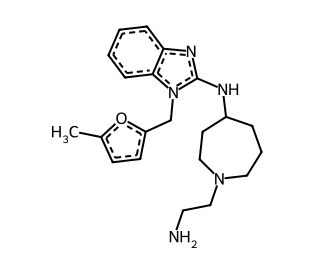 Cc1ccc(Cn2c(NC3CCCN(CCN)CC3)nc3ccccc32)o1